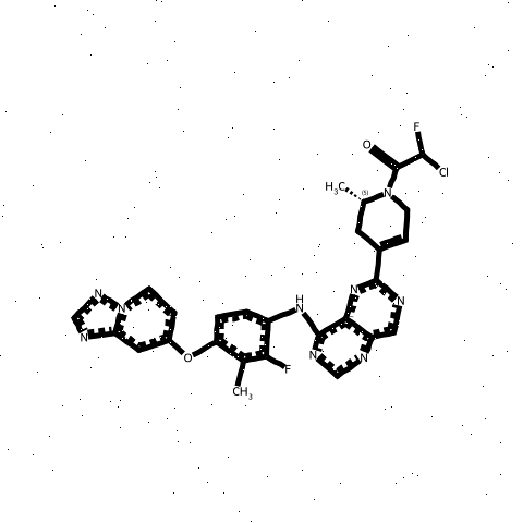 Cc1c(Oc2ccn3ncnc3c2)ccc(Nc2ncnc3cnc(C4=CCN(C(=O)C(F)Cl)[C@@H](C)C4)nc23)c1F